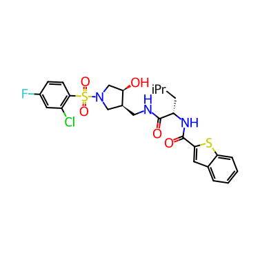 CC(C)C[C@H](NC(=O)c1cc2ccccc2s1)C(=O)NC[C@H]1CN(S(=O)(=O)c2ccc(F)cc2Cl)C[C@H]1O